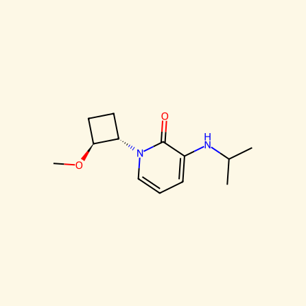 CO[C@H]1CC[C@@H]1n1cccc(NC(C)C)c1=O